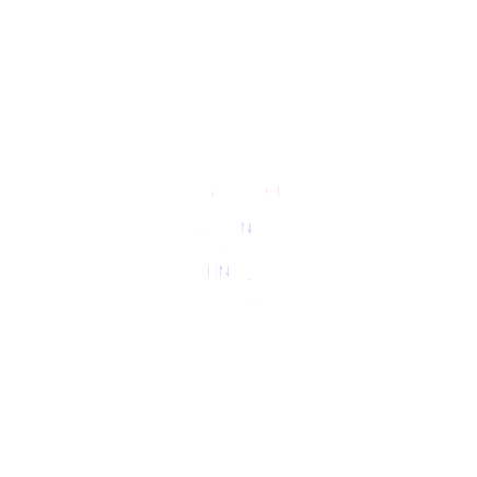 COC(O)n1ccc(=O)[nH]c1=O